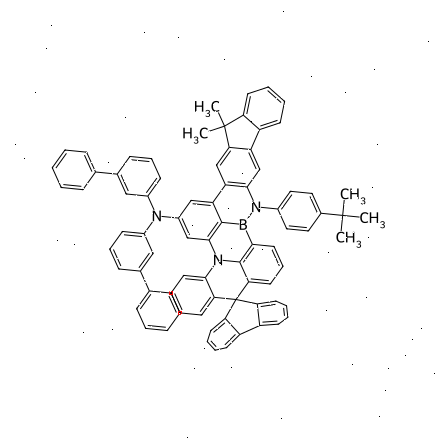 CC(C)(C)c1ccc(N2B3c4cccc5c4N(c4ccccc4C54c5ccccc5-c5ccccc54)c4cc(N(c5cccc(-c6ccccc6)c5)c5cccc(-c6ccccc6)c5)cc(c43)-c3cc4c(cc32)-c2ccccc2C4(C)C)cc1